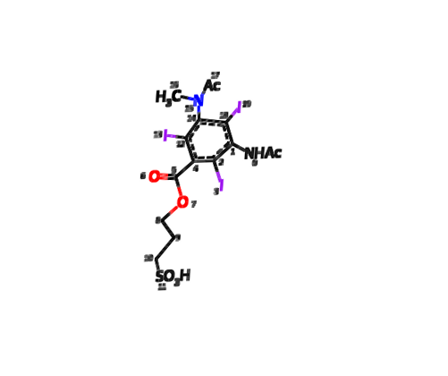 CC(=O)Nc1c(I)c(C(=O)OCCCS(=O)(=O)O)c(I)c(N(C)C(C)=O)c1I